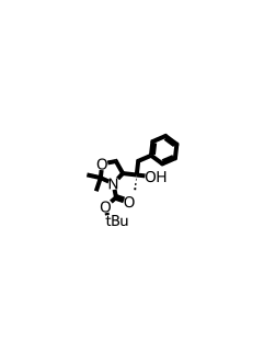 CC(C)(C)OC(=O)N1C([C@](C)(O)Cc2ccccc2)COC1(C)C